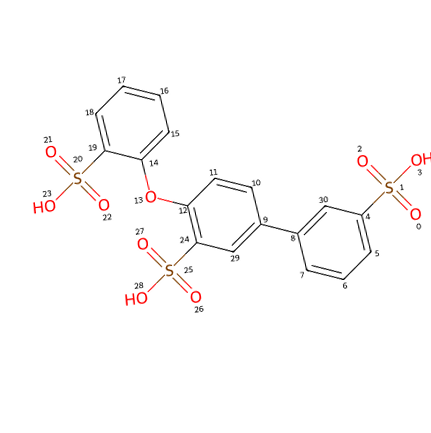 O=S(=O)(O)c1cccc(-c2ccc(Oc3ccccc3S(=O)(=O)O)c(S(=O)(=O)O)c2)c1